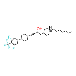 CCCCCCC[SiH]1CCC(CC(O)C#CC2CCC(c3cc(F)c(C(F)(F)F)c(F)c3)CC2)CC1